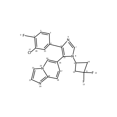 Fc1ccc(-c2ncn(C3CC(F)(F)C3)c2-c2ccc3nccn3c2)cc1Cl